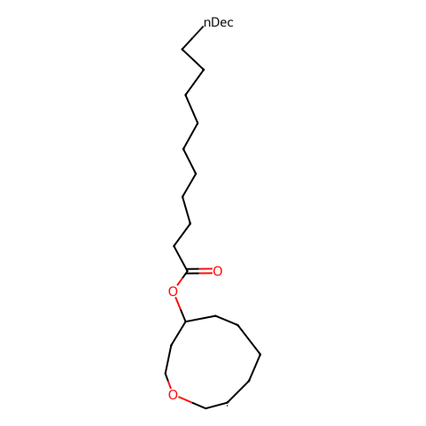 [CH2]CCCCCCCCCCCCCCCCCCC(=O)OC1CCCC[CH]COCC1